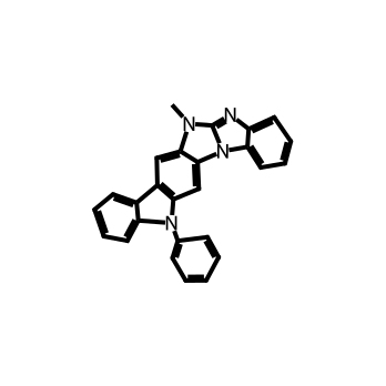 Cn1c2cc3c4ccccc4n(-c4ccccc4)c3cc2n2c3ccccc3nc12